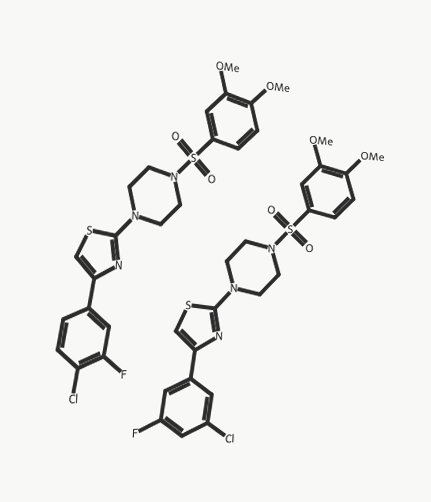 COc1ccc(S(=O)(=O)N2CCN(c3nc(-c4cc(F)cc(Cl)c4)cs3)CC2)cc1OC.COc1ccc(S(=O)(=O)N2CCN(c3nc(-c4ccc(Cl)c(F)c4)cs3)CC2)cc1OC